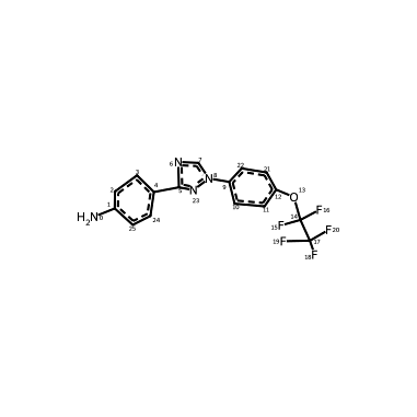 Nc1ccc(-c2ncn(-c3ccc(OC(F)(F)C(F)(F)F)cc3)n2)cc1